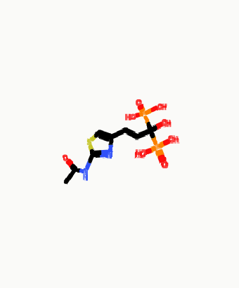 CC(=O)Nc1nc(CCC(O)(P(=O)(O)O)P(=O)(O)O)cs1